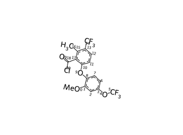 COc1cc(OC(F)(F)F)ccc1Oc1ccc(C(F)(F)F)c(C)c1C(=O)Cl